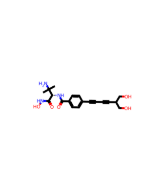 CC(C)(N)[C@H](NC(=O)c1ccc(C#CC#CC(CO)CO)cc1)C(=O)NO